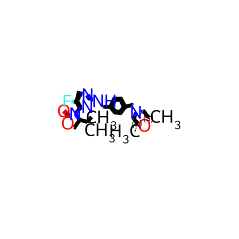 CC(C)C1COC(=O)N1c1nc(NCc2ccc(CN3C[C@@H](C)O[C@@H](C)C3)cc2)ncc1F